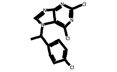 CC(c1ccc(Cl)cc1)n1cnc2nc(Cl)nc(Cl)c21